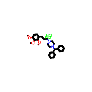 COc1ccc(/C=C/CN2CCN(C(c3ccccc3)c3ccccc3)CC2)c(OC)c1OC.Cl.Cl